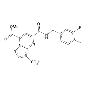 COC(=O)c1cc(C(=O)NCc2ccc(F)c(F)c2)nc2c(C(=O)O)cnn12